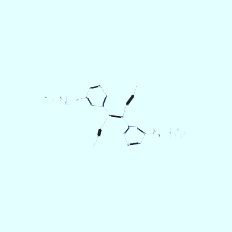 CC#C/C(=C(/C#CC)c1cccc(NC(C)=O)c1)c1cccc(NC(C)=O)c1